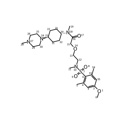 COc1cc(C)c(S(=O)(=O)N(C)CCOCC(=O)N(C)[C@H]2CC[C@H](N3CCN(C)CC3)CC2)c(C)c1